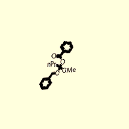 CCCC(OC)(OCc1ccccc1)OC(=O)c1ccccc1